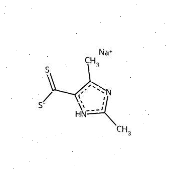 Cc1nc(C)c(C(=S)[S-])[nH]1.[Na+]